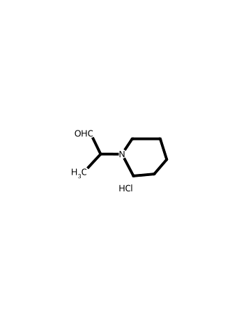 CC(C=O)N1CCCCC1.Cl